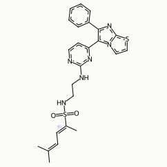 CC(C)=C/C=C(\C)S(=O)(=O)NCCNc1nccc(-c2c(-c3ccccc3)nc3sccn23)n1